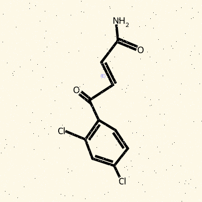 NC(=O)/C=C/C(=O)c1ccc(Cl)cc1Cl